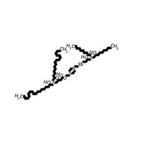 CC/C=C\C/C=C\C/C=C\CCCCCC[C@@H](O)CN(CCCC(=O)OCCN1CCN(CCSSCCCCN(CC(O)CCCCCCCC)CC(O)CCCCCCCC)CC1)C[C@H](O)CCCCCC/C=C\C/C=C\C/C=C\CC